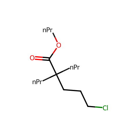 CCCOC(=O)C(CCC)(CCC)CCCCl